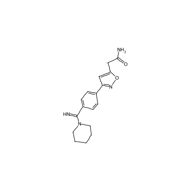 N=C(c1ccc(-c2cc([CH]C(N)=O)on2)cc1)N1CCCCC1